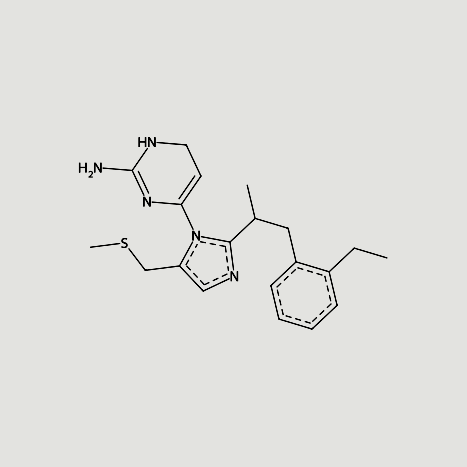 CCc1ccccc1CC(C)c1ncc(CSC)n1C1=CCNC(N)=N1